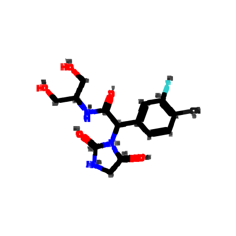 N#Cc1ccc(C(C(=O)NC(CO)CO)N2C(=O)CNC2=O)cc1F